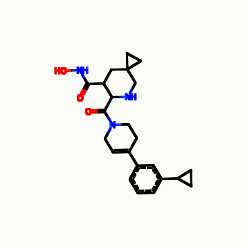 O=C(NO)C1CC2(CC2)CNC1C(=O)N1CC=C(c2cccc(C3CC3)c2)CC1